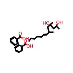 CCCCCC=CC(C)CC(C)(O)CC(C)O.O=C(O)c1ccccc1.O=C(O)c1ccccc1